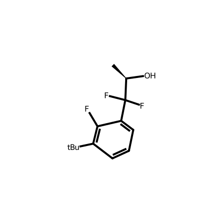 C[C@@H](O)C(F)(F)c1cccc(C(C)(C)C)c1F